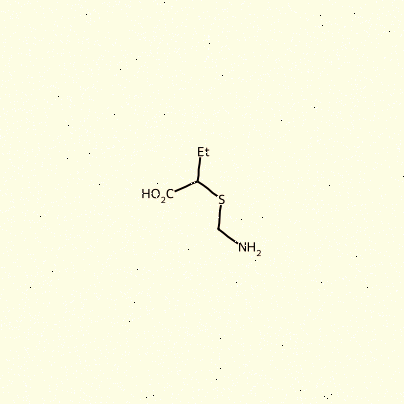 CCC(SCN)C(=O)O